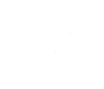 O=C(Nc1cccc2c1Cc1ccccc1-2)c1c[nH]c2ccccc2c1=O